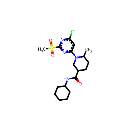 CS(=O)(=O)c1nc(Cl)cc(N2CC(C(=O)NC3CCCCC3)CCC2C(F)(F)F)n1